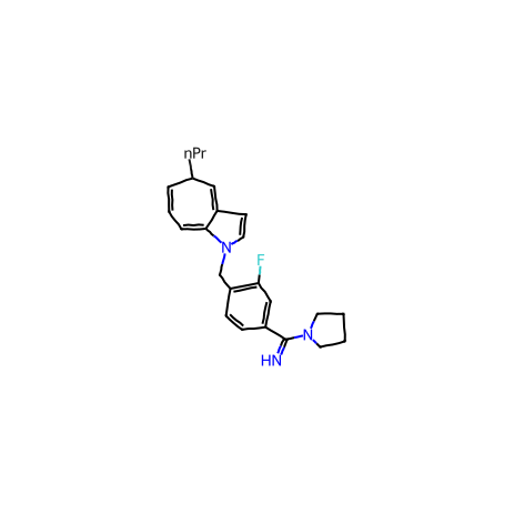 CCCC1C=CC=c2c(ccn2Cc2ccc(C(=N)N3CCCC3)cc2F)=C1